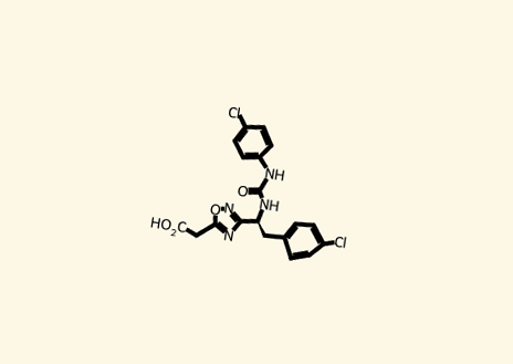 O=C(O)Cc1nc([C@H](Cc2ccc(Cl)cc2)NC(=O)Nc2ccc(Cl)cc2)no1